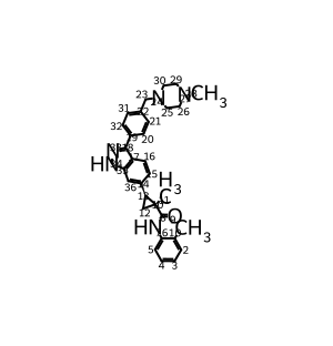 Cc1ccccc1NC(=O)[C@]1(C)C[C@H]1c1ccc2c(-c3ccc(CN4CCN(C)CC4)cc3)n[nH]c2c1